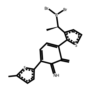 C=C1C(=N)C(c2ccc(C)s2)=CC=C1c1sccc1[C@@H](C)B(Br)Br